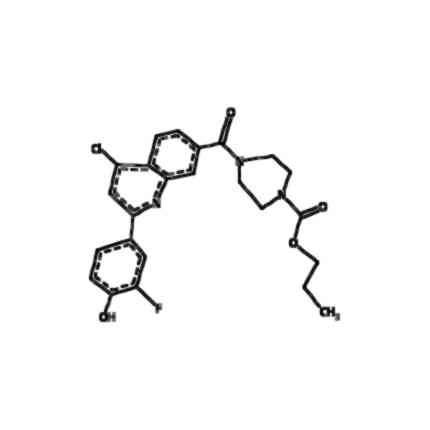 CCCOC(=O)N1CCN(C(=O)c2ccc3c(Cl)cc(-c4ccc(O)c(F)c4)nc3c2)CC1